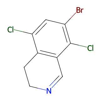 Clc1cc(Br)c(Cl)c2c1CCN=C2